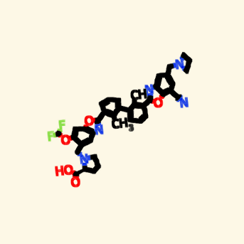 Cc1c(-c2nc3cc(CN4CCC[C@H]4C(=O)O)c(OC(F)F)cc3o2)cccc1-c1cccc(-c2nc3cc(CN4CCC4)cc(C#N)c3o2)c1C